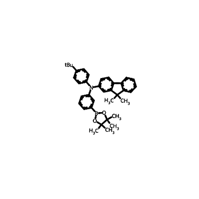 CC(C)(C)c1ccc(N(c2cccc(B3OC(C)(C)C(C)(C)O3)c2)c2ccc3c(c2)C(C)(C)c2ccccc2-3)cc1